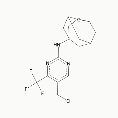 FC(F)(F)c1nc(NC23CCC4CC(CC(C4)C2)C3)ncc1CCl